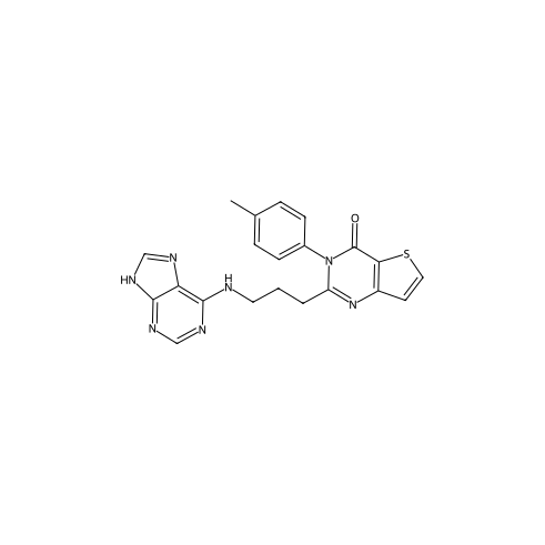 Cc1ccc(-n2c(CCCNc3ncnc4[nH]cnc34)nc3ccsc3c2=O)cc1